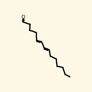 CCCCCCC=CC=CCCCC=O